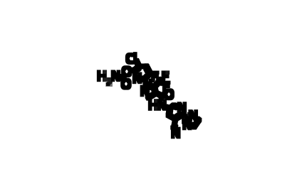 N#Cc1cc(NC(=O)c2cnn(-c3ccc(Cl)c(OC(N)=O)n3)c2C(F)(F)F)cnc1-n1nccn1